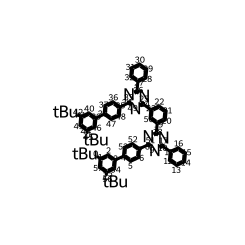 CC(C)(C)c1cc(-c2ccc(-c3nc(-c4ccccc4)nc(-c4cccc(-c5nc(-c6ccccc6)nc(-c6ccc(-c7cc(C(C)(C)C)cc(C(C)(C)C)c7)cc6)n5)c4)n3)cc2)cc(C(C)(C)C)c1